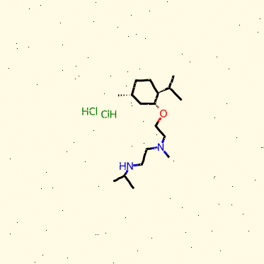 CC(C)NCCN(C)CCO[C@@H]1C[C@H](C)CC[C@H]1C(C)C.Cl.Cl